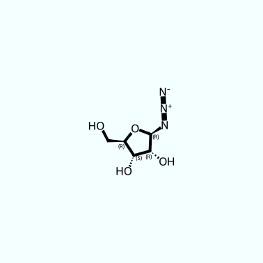 [N-]=[N+]=N[C@@H]1O[C@H](CO)[C@@H](O)[C@H]1O